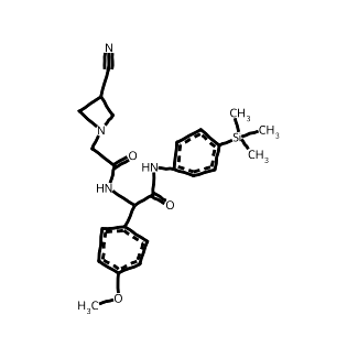 COc1ccc(C(NC(=O)CN2CC(C#N)C2)C(=O)Nc2ccc([Si](C)(C)C)cc2)cc1